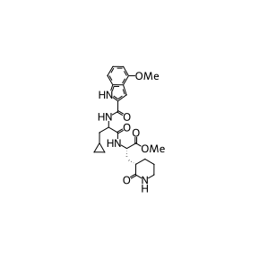 COC(=O)[C@H](C[C@@H]1CCCNC1=O)NC(=O)C(CC1CC1)NC(=O)c1cc2c(OC)cccc2[nH]1